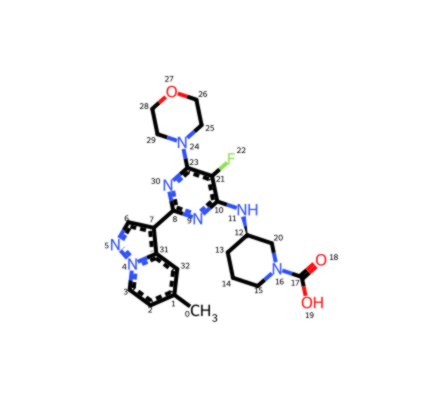 Cc1ccn2ncc(-c3nc(N[C@@H]4CCCN(C(=O)O)C4)c(F)c(N4CCOCC4)n3)c2c1